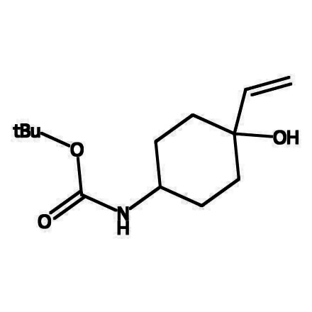 C=CC1(O)CCC(NC(=O)OC(C)(C)C)CC1